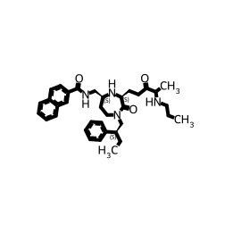 CCCNC(C)C(=O)CC[C@@H]1N[C@H](CNC(=O)c2ccc3ccccc3c2)CCN(C[C@@H](CC)c2ccccc2)C1=O